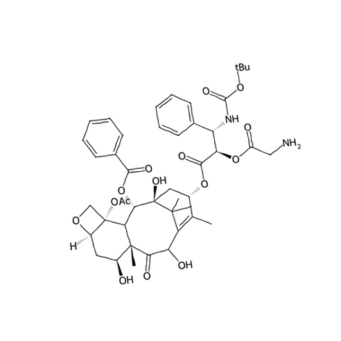 CC(=O)O[C@@]12CO[C@@H]1C[C@H](O)[C@@]1(C)C(=O)C(O)C3=C(C)[C@@H](OC(=O)[C@H](OC(=O)CN)[C@@H](NC(=O)OC(C)(C)C)c4ccccc4)C[C@@](O)([C@@H](OC(=O)c4ccccc4)C12)C3(C)C